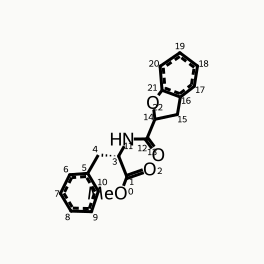 COC(=O)[C@H](Cc1ccccc1)NC(=O)C1Cc2ccccc2O1